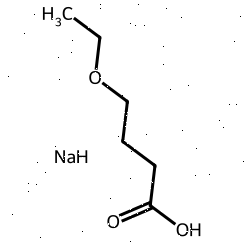 CCOCCCC(=O)O.[NaH]